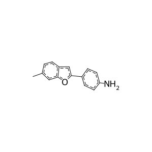 Cc1ccc2cc(-c3ccc(N)cc3)oc2c1